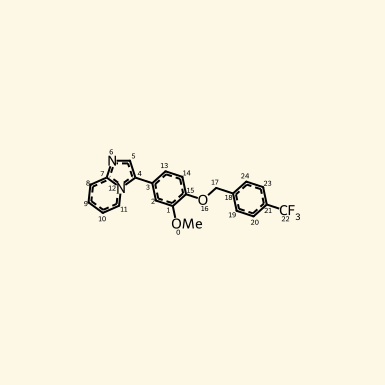 COc1cc(-c2cnc3ccccn23)ccc1OCc1ccc(C(F)(F)F)cc1